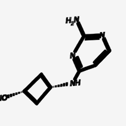 Nc1nccc(N[C@H]2C[C@@H](O)C2)n1